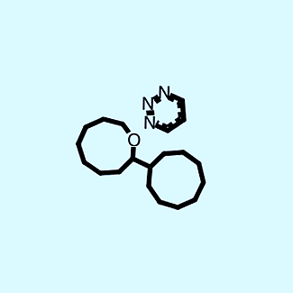 C1CCCCC(C2CCCCCCCO2)CCC1.c1cnnnc1